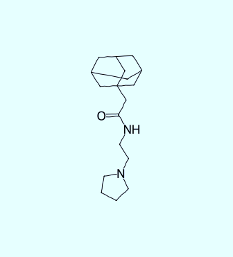 O=C(CC12CC3CC(CC(C3)C1)C2)NCCN1CCCC1